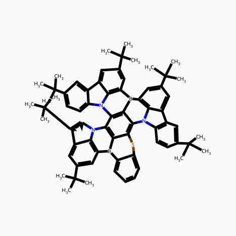 CC(C)(C)c1ccc2c(c1)c1cc(C(C)(C)C)cc3c1n2-c1c2c4c(c5c1B3c1cc(C(C)(C)C)cc3c6cc(C(C)(C)C)ccc6n-5c13)-n1c3ccc(C(C)(C)C)cc3c3cc(C(C)(C)C)cc(c31)B4c1ccccc1S2